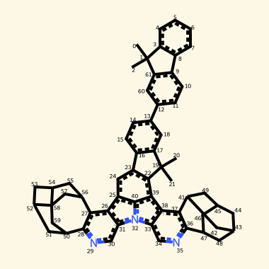 CC1(C)c2ccccc2-c2ccc(-c3ccc4c(c3)C(C)(C)c3c-4cc4c5c6c(ncc5n5c7cnc8c(c7c3c45)C3CC4CC(CC8C4)C3)C3CC4CC5CC6CC45C3)cc21